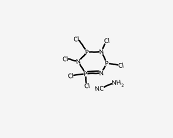 ClN1P(Cl)N=P(Cl)(Cl)N(Cl)P1Cl.N#CN